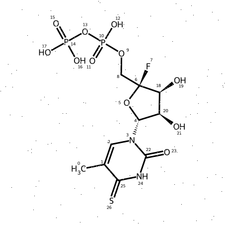 Cc1cn([C@@H]2O[C@](F)(COP(=O)(O)OP(=O)(O)O)[C@@H](O)[C@H]2O)c(=O)[nH]c1=S